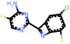 Nc1nc(C2=Nc3c(F)cc(Cl)cc32)ncc1F